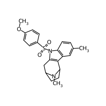 COc1ccc(S(=O)(=O)n2c3c(c4cc(C)ccc42)C2CCC(C3)N2C)cc1